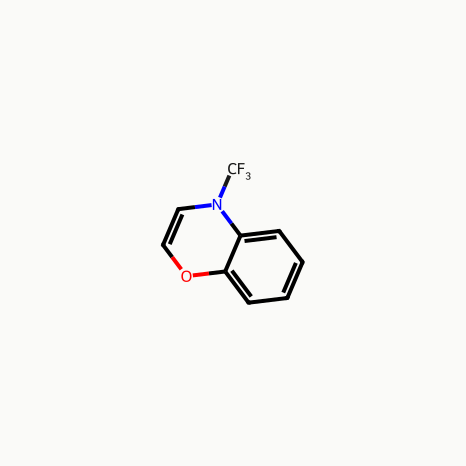 FC(F)(F)N1C=COc2ccccc21